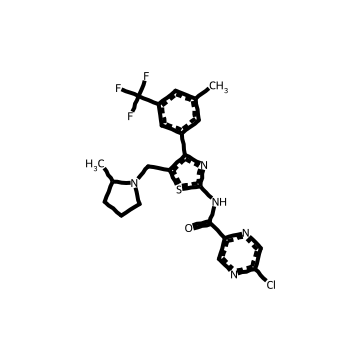 Cc1cc(-c2nc(NC(=O)c3cnc(Cl)cn3)sc2CN2CCCC2C)cc(C(F)(F)F)c1